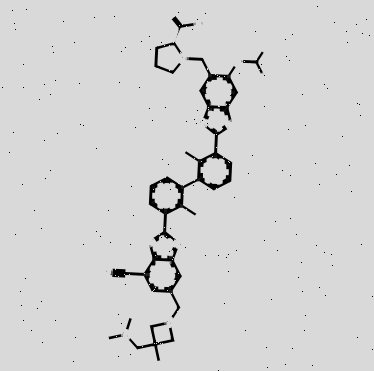 Cc1c(-c2nc3cc(CN4CCC[C@H]4C(=O)O)c(OC(F)F)cc3o2)cccc1-c1cccc(-c2nc3cc(CN4CC(C)(CN(C)C)C4)cc(C#N)c3o2)c1C